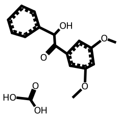 COc1cc(OC)cc(C(=O)C(O)c2ccccc2)c1.O=C(O)O